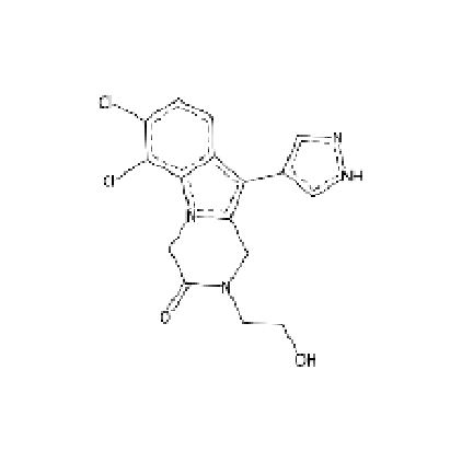 O=C1Cn2c(c(-c3cn[nH]c3)c3ccc(Cl)c(Cl)c32)CN1CCO